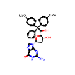 COc1ccc(C(c2ccccc2)(c2ccc(OC)cc2)C(O)[C@H]2O[C@@H](n3cnc4c(=O)[nH]c(N)nc43)C[C@@H]2O)cc1